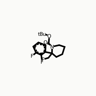 CC(C)(C)OC(=O)N1CCCCC1(CF)c1cccc(F)c1F